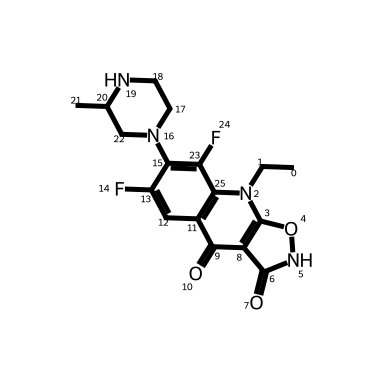 CCn1c2o[nH]c(=O)c2c(=O)c2cc(F)c(N3CCNC(C)C3)c(F)c21